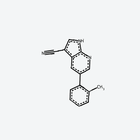 Cc1ccccc1-c1cnc2[nH]cc(C#N)c2c1